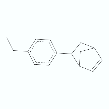 CCc1ccc(C2CC3C=CC2C3)cc1